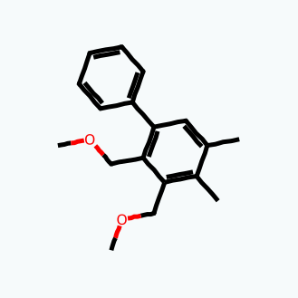 COCc1c(-c2ccccc2)cc(C)c(C)c1COC